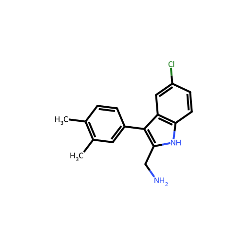 Cc1ccc(-c2c(CN)[nH]c3ccc(Cl)cc23)cc1C